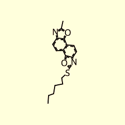 CCCCCCSc1nc2ccc3c(ccc4nc(C)oc43)c2o1